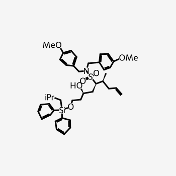 C=CC[C@H](C)[C@@H](C[C@H](O)CCO[Si](CC(C)C)(c1ccccc1)c1ccccc1)S(=O)(=O)N(Cc1ccc(OC)cc1)Cc1ccc(OC)cc1